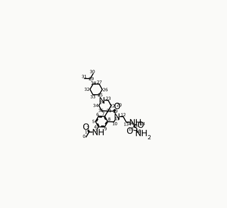 CC(=O)Nc1ccc2c(c1)CN(CCNS(N)(=O)=O)C(=O)C21CCN([C@H]2CC[C@@H](C(C)C)CC2)CC1